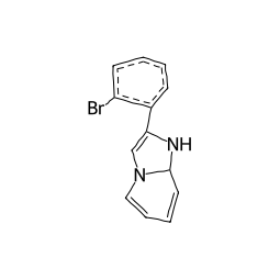 Brc1ccccc1C1=CN2C=CC=CC2N1